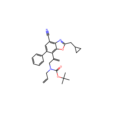 C=CCN(CC(=C)c1c(-c2ccccc2)cc(C#N)c2nc(CC3CC3)oc12)C(=O)OC(C)(C)C